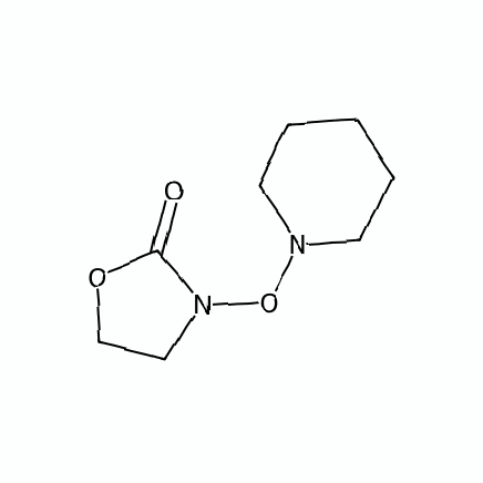 O=C1OCCN1ON1CCCCC1